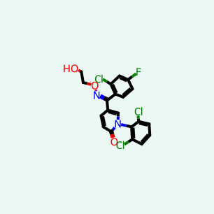 O=c1ccc(C(=NOCCO)c2ccc(F)cc2Cl)cn1-c1c(Cl)cccc1Cl